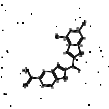 CC(c1nc2cc(C(=N)N)ccc2[nH]1)c1nc2c(Cl)cc(Cl)cc2[nH]1